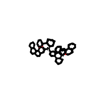 c1ccc(-c2cc(N(c3ccc4c(ccc5ccc6ccccc6c54)c3)c3ccccc3-c3ccccc3)ccc2-c2ccccc2-n2c3ccccc3c3c4ccccc4ccc32)cc1